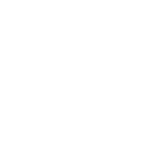 CCCCC[C]1CC1(C)C